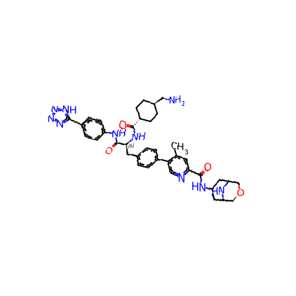 Cc1cc(C(=O)NC2CC3COCC(C2)N3)ncc1-c1ccc(C[C@H](NC(=O)[C@H]2CC[C@H](CN)CC2)C(=O)Nc2ccc(-c3nnn[nH]3)cc2)cc1